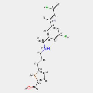 C=C(F)/C=C(\C)c1cc(F)cc(C(=C)NCCCc2ccc(C=O)s2)c1